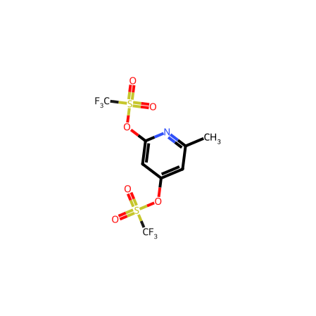 Cc1cc(OS(=O)(=O)C(F)(F)F)cc(OS(=O)(=O)C(F)(F)F)n1